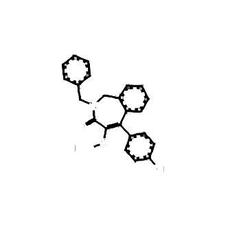 CSC1=C(c2ccc(C)cc2)c2ccccc2CN(Cc2ccccc2)C1=O